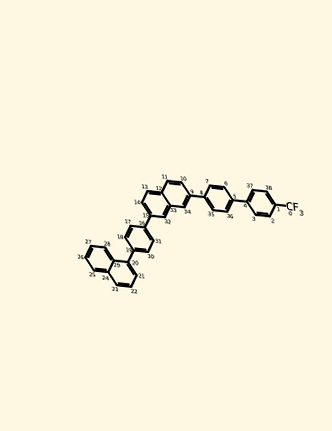 FC(F)(F)c1ccc(-c2ccc(-c3ccc4ccc(-c5ccc(-c6cccc7ccccc67)cc5)cc4c3)cc2)cc1